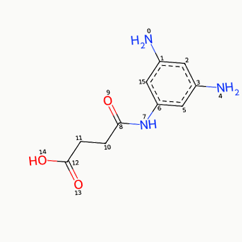 Nc1cc(N)cc(NC(=O)CCC(=O)O)c1